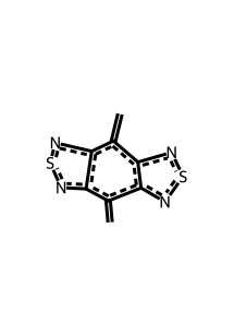 C=c1c2nsnc2c(=C)c2nsnc12